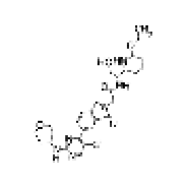 CCOC1CCCC(C(CO)NC(=O)CN2Cc3ccc(-c4nc(NC5CCOCC5)ncc4Cl)cc3C2=O)N1